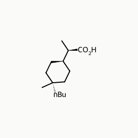 CCCC[C@]1(C)CC[C@@H]([C@@H](C)C(=O)O)CC1